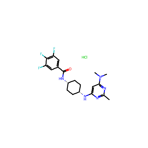 Cc1nc(N[C@H]2CC[C@@H](NC(=O)c3cc(F)c(F)c(F)c3)CC2)cc(N(C)C)n1.Cl